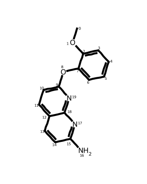 COc1ccccc1Oc1ccc2ccc(N)nc2n1